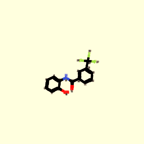 O=C(Nc1ccccc1O)c1cccc(C(F)(F)F)c1